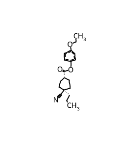 CCC[C@]1(C#N)CC[C@H](C(=O)Oc2ccc(OCC)cc2)CC1